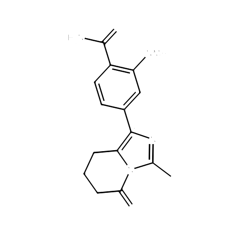 CNc1cc(-c2nc(C)n3c2CCCC3=O)ccc1C(N)=O